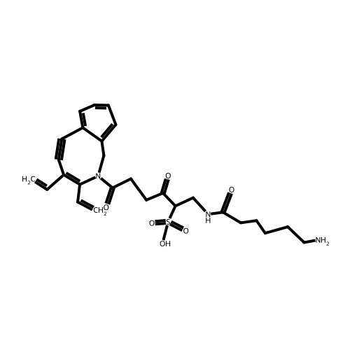 C=C/C1=C(\C=C)N(C(=O)CCC(=O)C(CNC(=O)CCCCCN)S(=O)(=O)O)Cc2ccccc2C#C1